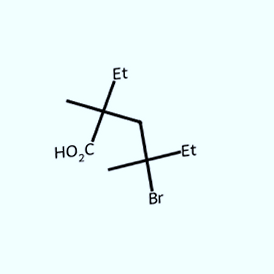 CCC(C)(Br)CC(C)(CC)C(=O)O